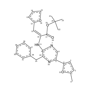 Cc1ccc(-c2cnc(NC(=Cc3ccco3)C(=O)OC(C)(C)C)c(Cc3ccccc3)n2)o1